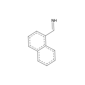 N=Cc1cccc2ccccc12